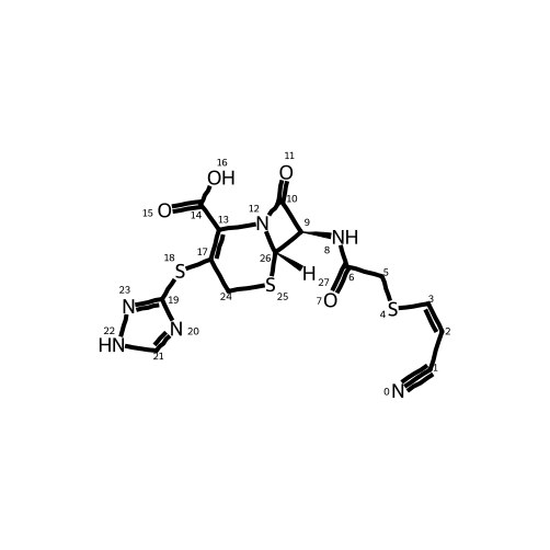 N#C/C=C\SCC(=O)N[C@@H]1C(=O)N2C(C(=O)O)=C(Sc3nc[nH]n3)CS[C@@H]12